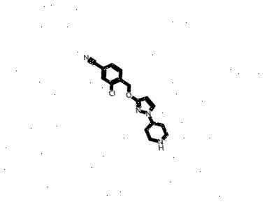 N#Cc1ccc(COc2ccn(C3CCNCC3)n2)c(Cl)c1